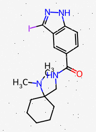 CN(C)C1(CNC(=O)c2ccc3[nH]nc(I)c3c2)CCCCC1